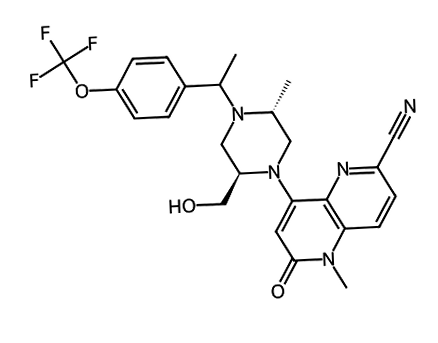 CC(c1ccc(OC(F)(F)F)cc1)N1C[C@H](CO)N(c2cc(=O)n(C)c3ccc(C#N)nc23)C[C@H]1C